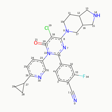 N#Cc1ccc(-c2nc(N3CCC4CNCC4C3)c(Cl)c(=O)n2-c2ccc(C3CC3)nc2)cc1F